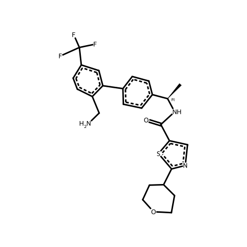 C[C@@H](NC(=O)c1cnc(C2CCOCC2)s1)c1ccc(-c2cc(C(F)(F)F)ccc2CN)cc1